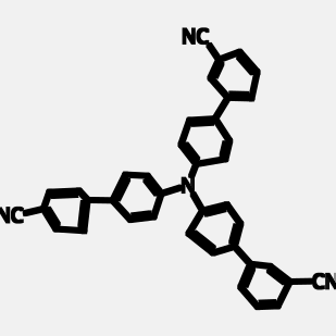 N#Cc1ccc(-c2ccc(N(c3ccc(-c4cccc(C#N)c4)cc3)c3ccc(-c4cccc(C#N)c4)cc3)cc2)cc1